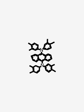 CC1=C(C)CC(N(c2ccc(C)c(C)c2)c2c3ccccc3c(N(c3ccc(C)c(C)c3)c3ccc(C)c(C)c3)c3ccccc23)C=C1